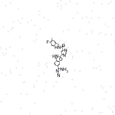 Cc1cc(CNC(=O)c2cc(C(=O)N[C@@H](C)c3ccc(/C(N)=N/C#N)cc3)ncn2)ccc1F